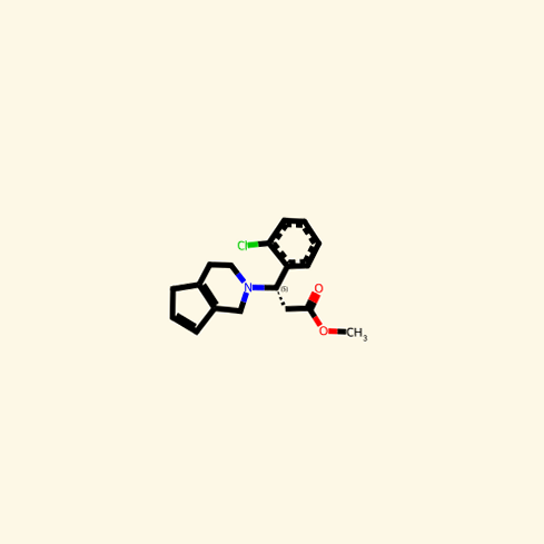 COC(=O)C[C@@H](c1ccccc1Cl)N1CCC2=C(C=CC2)C1